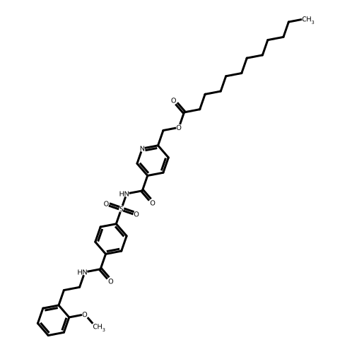 CCCCCCCCCCCC(=O)OCc1ccc(C(=O)NS(=O)(=O)c2ccc(C(=O)NCCc3ccccc3OC)cc2)cn1